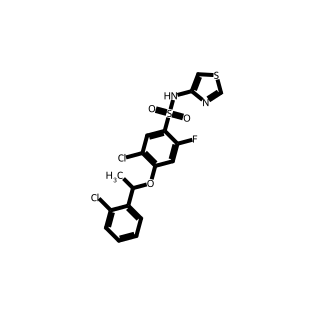 CC(Oc1cc(F)c(S(=O)(=O)Nc2cscn2)cc1Cl)c1ccccc1Cl